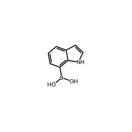 OB(O)c1cccc2cc[nH]c12